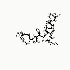 Cc1cc(-c2nc(C(=O)Nc3cc4sc(N5CCOCC5)nc4nc3N3CC(O)C3)co2)ccn1